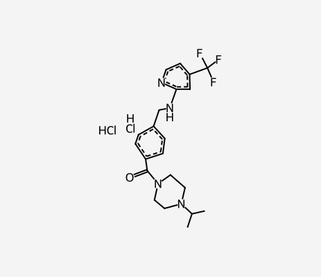 CC(C)N1CCN(C(=O)c2ccc(CNc3cc(C(F)(F)F)ccn3)cc2)CC1.Cl.Cl